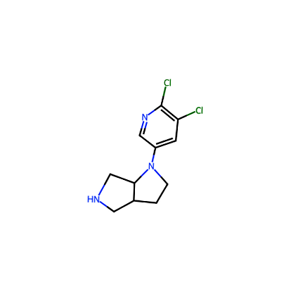 Clc1cc(N2CCC3CNCC32)cnc1Cl